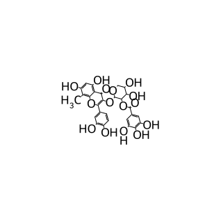 Cc1c(O)cc(O)c2c(=O)c(OC3OCC(O)C(O)C3OC(=O)c3cc(O)c(O)c(O)c3)c(-c3ccc(O)c(O)c3)oc12